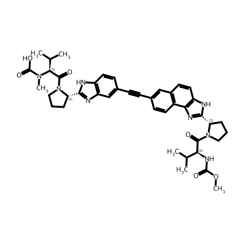 COC(=O)N[C@H](C(=O)N1CCC[C@H]1c1nc2c(ccc3cc(C#Cc4ccc5[nH]c([C@@H]6CCCN6C(=O)[C@H](C(C)C)N(C)C(=O)O)nc5c4)ccc32)[nH]1)C(C)C